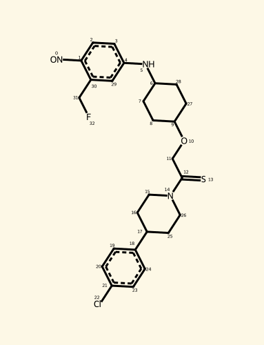 O=Nc1ccc(NC2CCC(OCC(=S)N3CCC(c4ccc(Cl)cc4)CC3)CC2)cc1CF